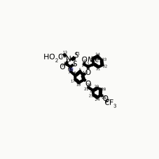 COCC(Oc1cc(/C=C2\SC(=S)N(CC(=O)O)C2=O)ccc1OCc1ccc(OC(F)(F)F)cc1)c1ccccc1